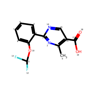 Cc1nc(-c2ccccc2OC(F)F)ncc1C(=O)O